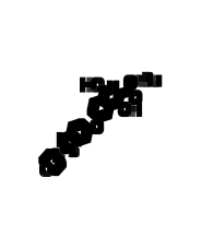 CCCCOC(=O)c1nc(O)c2ccc(Oc3ccc4nc(N5CCOCC5)sc4c3)cc2c1O